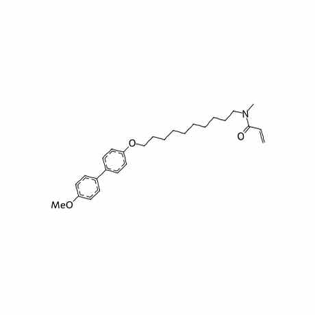 C=CC(=O)N(C)CCCCCCCCCCOc1ccc(-c2ccc(OC)cc2)cc1